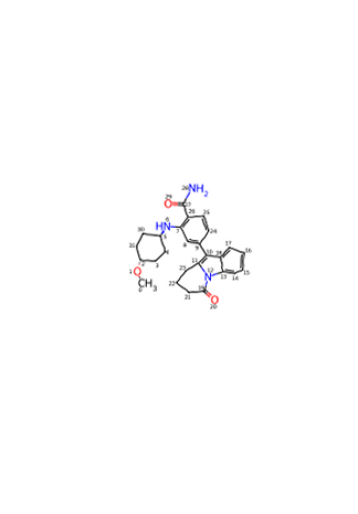 CO[C@H]1CC[C@H](Nc2cc(-c3c4n(c5ccccc35)C(=O)CCC4)ccc2C(N)=O)CC1